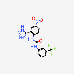 O=C(Nc1cccc(C(F)(F)F)c1)Nc1ccc([N+](=O)[O-])cc1-c1nnn[nH]1